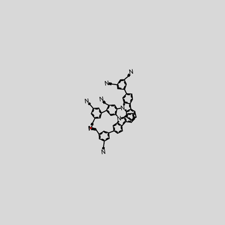 N#Cc1cc(C#N)cc(-c2ccc3c4ccccc4n(-c4cc(C#N)c(-c5cc(C#N)cc(C#N)c5)cc4-n4c5ccccc5c5ccc(-c6cc(C#N)cc(C#N)c6)cc54)c3c2)c1